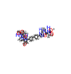 COC(=O)N[C@H](C(=O)N1CCC[C@H]1c1ncc(-c2ccc(-c3ccc(-c4[nH]c([C@@H]5CCCN5C(=O)[C@@H](NC(=O)OC)C(C)C)c5c4COC5)cc3)cc2)[nH]1)C(C)C